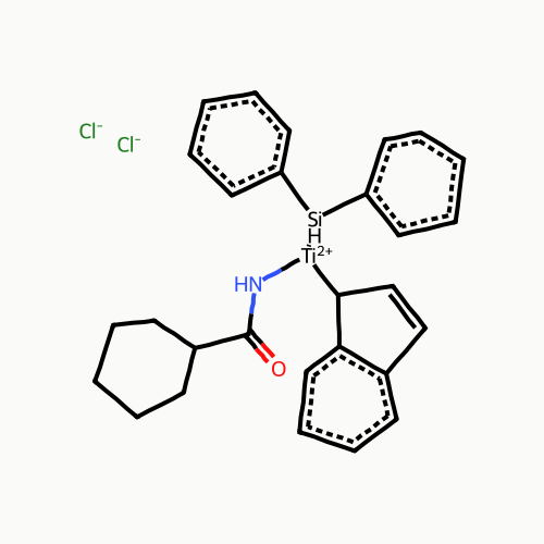 O=C([NH][Ti+2]([CH]1C=Cc2ccccc21)[SiH](c1ccccc1)c1ccccc1)C1CCCCC1.[Cl-].[Cl-]